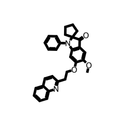 COc1cc2c(cc1OCCc1ccc3ccccc3n1)N(c1ccccc1)C1(CCCC1)C2=O